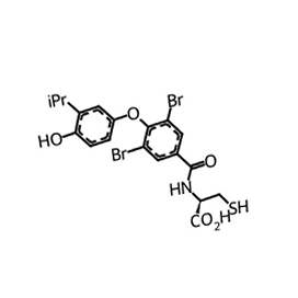 CC(C)c1cc(Oc2c(Br)cc(C(=O)N[C@@H](CS)C(=O)O)cc2Br)ccc1O